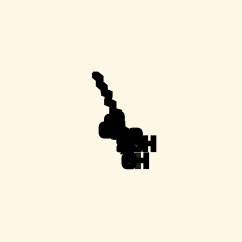 CCCCCCCCCCOCC(COP(=O)(O)N(CCO)C(C)C)OC(=O)OC